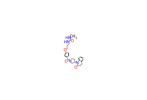 CNC(=O)NCCCOc1ccc(C(=O)N2CCC(N3C(=O)CCc4ccccc43)CC2)cc1